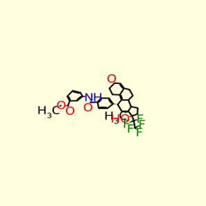 COC(=O)c1cccc(NC(=O)c2ccc([C@H]3C[C@@]4(C)C(CC[C@]4(O)C(F)(F)C(F)(F)F)C4CCC5=CC(=O)CCC5=C43)cc2)c1